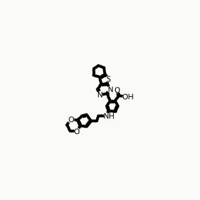 O=C(O)c1ccc(NCCc2ccc3c(c2)OCCO3)cc1-c1ncc2c3c(sc2n1)CCCC3